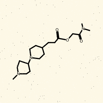 CN1CCC(N2CCC(CCC(=O)OCC(=O)N(C)C)CC2)CC1